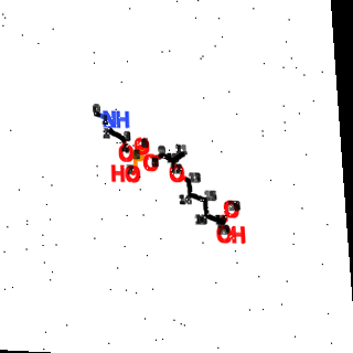 CNCCOP(=O)(O)OCC(C)OCCCCC(=O)O